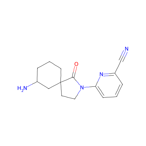 N#Cc1cccc(N2CCC3(CCCC(N)C3)C2=O)n1